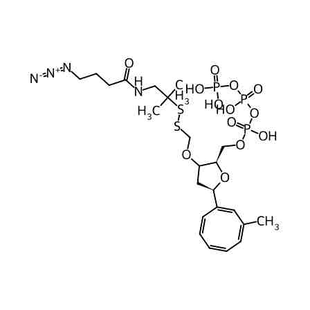 CC1=C/C=C\C=C/C([C@H]2CC(OCSSC(C)(C)CNC(=O)CCCN=[N+]=[N-])[C@@H](COP(=O)(O)OP(=O)(O)OP(=O)(O)O)O2)=C\1